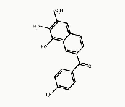 Nc1ccc(C(=O)c2ccc3cc(S(=O)(=O)O)c(N)c(O)c3c2)cc1